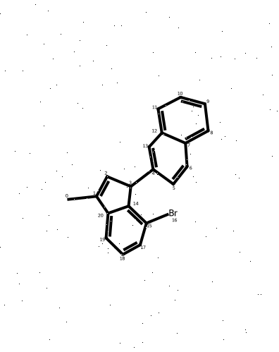 CC1=CC(c2ccc3ccccc3c2)c2c(Br)cccc21